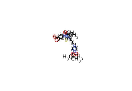 CC(C)(C)OC(=O)N1CCN(CCCCCN2C(=S)N(c3ccc4c(c3)COC4=O)C(=O)C2(C)C)CC1